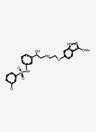 COc1n[nH]c2cc(OCCNC[C@H](O)c3cccc(NS(=O)(=O)c4cccc(Cl)c4)c3)ccc12